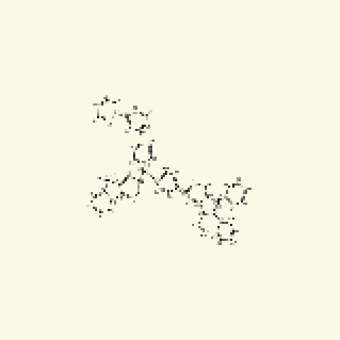 CC1(C)c2ccccc2-c2ccc(N(c3ccc(-c4cccc(-c5ccccc5)c4)cc3)c3ccc(-c4ccc5c(c4)c4ccc6ccccc6c4n5-c4ccccc4)cc3)cc21